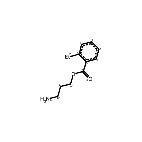 CCc1ccccc1C(=O)OCCCN